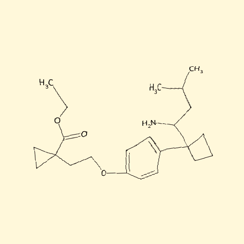 CCOC(=O)C1(CCOc2ccc(C3(C(N)CC(C)C)CCC3)cc2)CC1